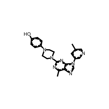 Cc1cncc(-n2cnc3c(C)nc(N4CCN(c5ccc(O)cc5)CC4)nc32)c1